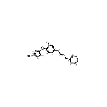 Cc1cc(CCNCc2ccccc2)ccc1Oc1ccc(C#N)s1